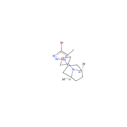 Cc1c(Br)nnn1C1C[C@H]2CC[C@@H](C1)N2C1COC1